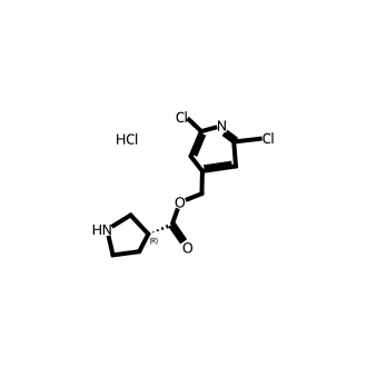 Cl.O=C(OCc1cc(Cl)nc(Cl)c1)[C@@H]1CCNC1